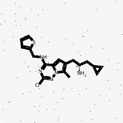 Cc1c(C[C@@H](N)CC2CC2)cc2c(NCc3cccs3)nc(Cl)nn12